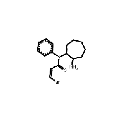 NC1CCCCCC1N(C(=O)/C=C\Br)c1ccccc1